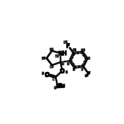 CC(C)(C)C(=O)OC1(c2cc(F)ccc2F)CCCN1